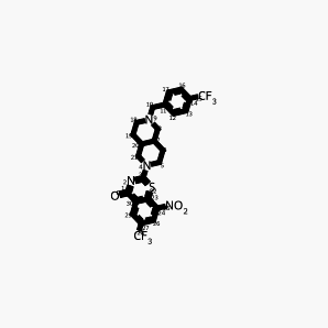 O=c1nc(N2CCC3CN(Cc4ccc(C(F)(F)F)cc4)CCC3C2)sc2c([N+](=O)[O-])cc(C(F)(F)F)cc12